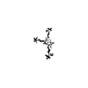 C[SiH]1O[Si](C)(CCCNC(C)(C)C)O[Si](C)(CCCNC(C)(C)C)O[Si](C)(CCCNC(C)(C)C)O1